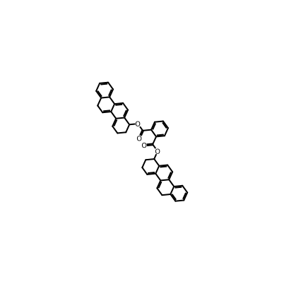 O=C(OC1CCC=c2c1ccc1c2=CCc2ccccc2-1)c1ccccc1C(=O)OC1CCC=c2c1ccc1c2=CCc2ccccc2-1